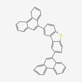 C1=CCc2c3c(c(-c4ccc5sc6ccc(-c7cc8ccccc8c8ccccc78)cc6c5c4)cc2=C1)=CC=CC3